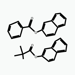 CC(C)(C)C(=O)Oc1ccc2ccccc2c1.O=C(Oc1ccc2ccccc2c1)c1ccccc1